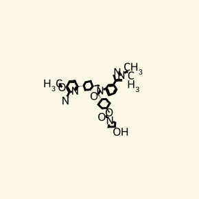 COc1ccc([C@H]2CC[C@H](CN(c3cccc(-c4cnn(C(C)C)c4)c3)C(=O)[C@H]3CC[C@H](OC(=O)N4CC(O)C4)CC3)CC2)nc1C#N